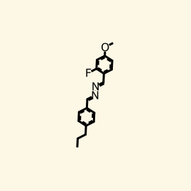 CCCc1ccc(C=NN=Cc2ccc(OC)cc2F)cc1